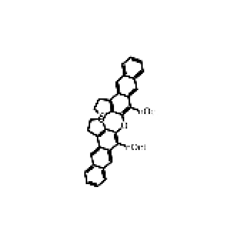 CCCCCCCCc1c(Oc2c3c(c4cc5ccccc5cc4c2CCCCCCCC)CCO3)c2c(c3cc4ccccc4cc13)CCO2